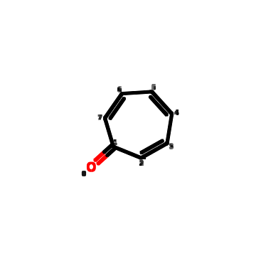 O=c1[c]ccccc1